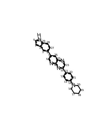 c1cc2cc(-c3cnc4nc(-c5ccc(N6CCCCC6)cc5)cnc4c3)ccc2[nH]1